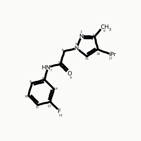 Cc1nn(CC(=O)Nc2cccc(F)c2)cc1C(C)C